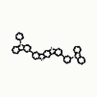 c1ccc(-n2c3ccccc3c3cc(-c4ccc5oc6cc7c(cc6c5c4)oc4ccc(-c5cccc(-n6c8ccccc8c8ccccc86)c5)cc47)ccc32)cc1